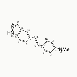 CNc1ccc(N=Nc2ccc3[nH]ncc3c2)cc1